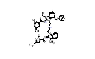 CCn1nc(C)cc1C(=O)/N=c1\n(C)c2ccccc2n1C/C=C/Cn1/c(=N/C(=O)c2cc(C)nn2CC)n(C)c2cccc(CN3C4COCC3C4)c21